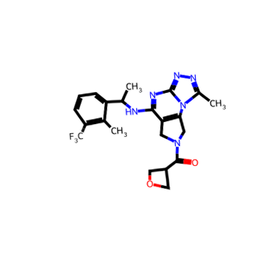 Cc1c(C(C)Nc2nc3nnc(C)n3c3c2CN(C(=O)C2COC2)C3)cccc1C(F)(F)F